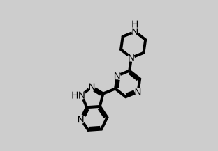 c1cnc2[nH]nc(-c3cncc(N4CCNCC4)n3)c2c1